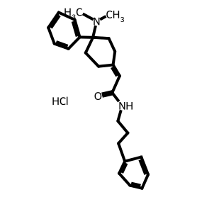 CN(C)C1(c2ccccc2)CCC(=CC(=O)NCCCc2ccccc2)CC1.Cl